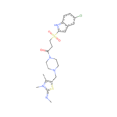 C/N=c1\sc(CN2CCN(C(=O)CCS(=O)(=O)c3cc4cc(Cl)ccc4[nH]3)CC2)c(C)n1C